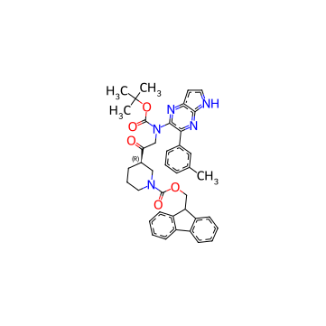 Cc1cccc(-c2nc3[nH]ccc3nc2N(CC(=O)[C@@H]2CCCN(C(=O)OCC3c4ccccc4-c4ccccc43)C2)C(=O)OC(C)(C)C)c1